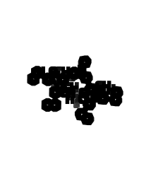 CC1(C)c2cc(-c3cccc4ccccc34)ccc2N2c3ccc(-c4cccc5ccccc45)cc3C(C)(C)c3cc(-c4ccc5c(c4)c4cc(-c6cc7c8c(c6)C(C)(C)c6cc(-c9cccc%10ccccc9%10)ccc6N8c6ccc(-c8cccc9ccccc89)cc6C7(C)C)ccc4n5-c4ccccc4)cc1c32